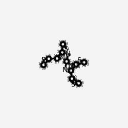 N#Cc1cc(-n2c3ccc(-c4ccc5sc6ccccc6c5c4)cc3c3cc4c(cc32)sc2ccccc24)c(C#N)cc1-n1c2ccc(-c3ccc4sc5ccccc5c4c3)cc2c2cc3c(cc21)sc1ccccc13